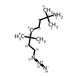 CC(C)(N)CCOC(C)(C)CCN=[N+]=[N-]